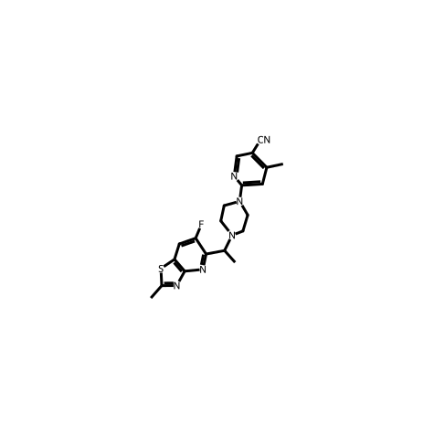 Cc1nc2nc(C(C)N3CCN(c4cc(C)c(C#N)cn4)CC3)c(F)cc2s1